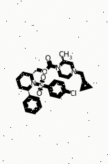 C[C@H]1CN(CC2CC2)CCN1C(=O)OC[C@H]1CCC[C@@H](c2ccccc2)N1S(=O)(=O)c1ccc(Cl)cc1